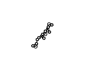 c1ccc2c(c1)oc1ccc(-c3ccc4ccc(-n5c6ccccc6c6c7oc8c(ccc9c8c8ccccc8n9-c8ccc9oc%10ccccc%10c9c8)c7ccc65)cc4c3)cc12